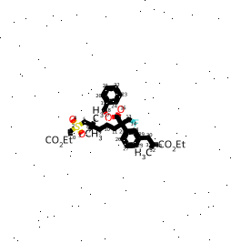 CCOC(=O)CS(=O)(=O)CC(C)(C)CCCC(CF)(C(=O)OCc1ccccc1)c1cccc(CC(C)C(=O)OCC)c1